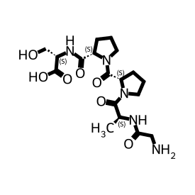 C[C@H](NC(=O)CN)C(=O)N1CCC[C@H]1C(=O)N1CCC[C@H]1C(=O)N[C@@H](CO)C(=O)O